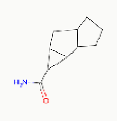 NC(=O)C1C2CC3CCCC3C21